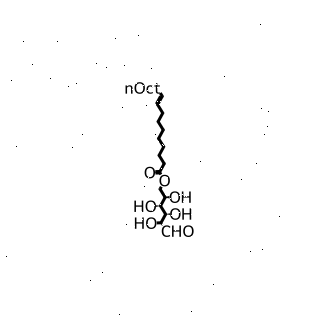 CCCCCCCCC=CCCCCCCCC(=O)OC[C@@H](O)[C@@H](O)[C@H](O)[C@@H](O)C=O